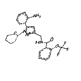 Nc1ccccc1-c1cc(CNC(=O)c2ccccc2OC(F)(F)F)nn1C1CCCCO1